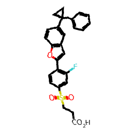 O=C(O)CCS(=O)(=O)c1ccc(-c2cc3cc(C4(c5ccccc5)CC4)ccc3o2)c(F)c1